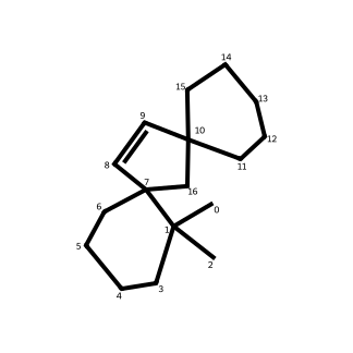 CC1(C)CCCCC12C=CC1(CCCCC1)C2